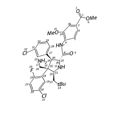 COC(=O)c1ccc(NC(=O)[C@@H]2N[C@@H](CC(C)(C)C)[C@](CN)(c3cc(Cl)ccc3F)[C@H]2c2cccc(Cl)c2)c(OC)c1